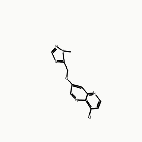 Cn1ncnc1COc1cnc2c(Cl)ccnc2c1